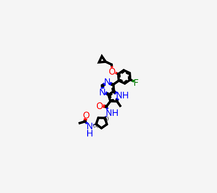 CC(=O)N[C@H]1CC[C@H](NC(=O)c2c(C)[nH]c3c(-c4cc(F)ccc4OCC4CC4)ncnc23)C1